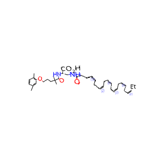 CC/C=C\C/C=C\C/C=C\C/C=C\C/C=C\C/C=C\CCC(=O)NCC(NC(=O)C(C)(C)CCCOc1cc(C)ccc1C)C(=O)O